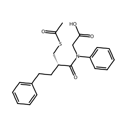 CC(=O)SC[C@@H](CCc1ccccc1)C(=O)N(CC(=O)O)c1ccccc1